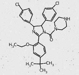 CCOc1cc(C(C)(C)C)ccc1C1=NC(c2ccc(Cl)cc2)C(c2ccc(Cl)cc2)N1C(=O)N1CCNCC1